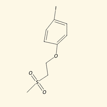 CS(=O)(=O)CCOc1ccc(I)cc1